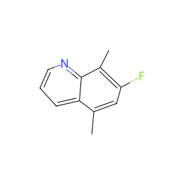 Cc1cc(F)c(C)c2ncccc12